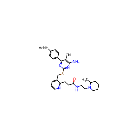 CC(=O)Nc1ccc(-c2nc(SCc3cccnc3CCC(=O)NCCN3CCCCC3C)nc(N)c2C#N)cc1